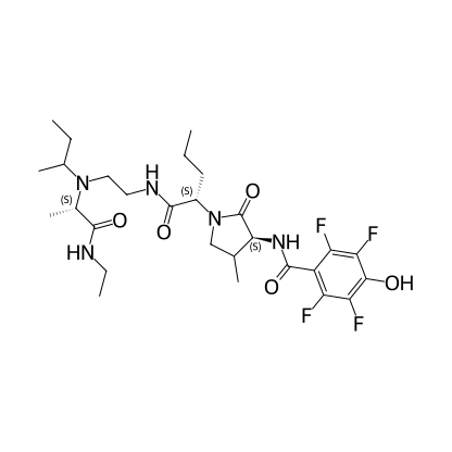 CCC[C@@H](C(=O)NCCN(C(C)CC)[C@@H](C)C(=O)NCC)N1CC(C)[C@H](NC(=O)c2c(F)c(F)c(O)c(F)c2F)C1=O